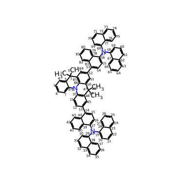 CC1(C)c2ccccc2N2c3ccc(-c4ccc(N(c5cccc6ccccc56)c5cccc6ccccc56)c5ccccc45)cc3C(C)(C)c3cc(-c4ccc(N(c5cccc6ccccc56)c5cccc6ccccc56)c5ccccc45)cc1c32